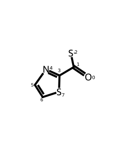 O=C([S])c1nccs1